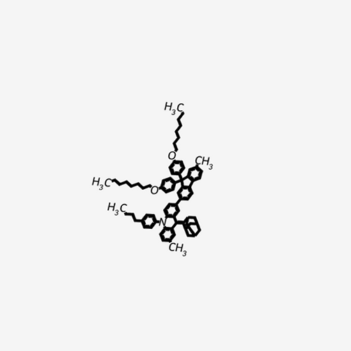 CCCCCCCCOc1ccc(C2(c3ccc(OCCCCCCCC)cc3)c3cc(C)ccc3-c3ccc(-c4ccc5c(c4)C(=C4C6CC7CC(C6)CC4C7)c4cc(C)ccc4N5c4ccc(CCCC)cc4)cc32)cc1